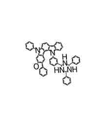 c1ccc(C2NC(c3ccccc3)NC(c3cccc(-n4c5ccccc5c5ccc6c(c7cc8c(cc7n6-c6ccccc6)oc6ccccc68)c54)c3)N2)cc1